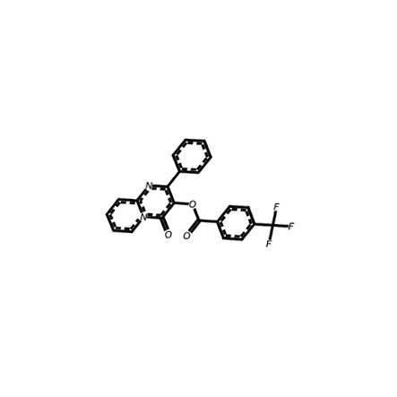 O=C(Oc1c(-c2ccccc2)nc2ccccn2c1=O)c1ccc(C(F)(F)F)cc1